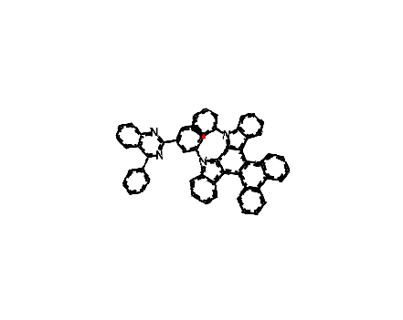 c1ccc(-c2nc(-c3cccc(-n4c5ccccc5c5c6c7ccccc7c7ccccc7c6c6c7ccccc7n(-c7ccccc7)c6c54)c3)nc3ccccc23)cc1